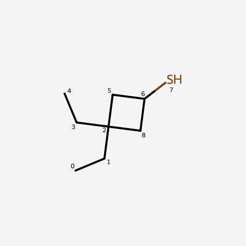 CCC1(CC)CC(S)C1